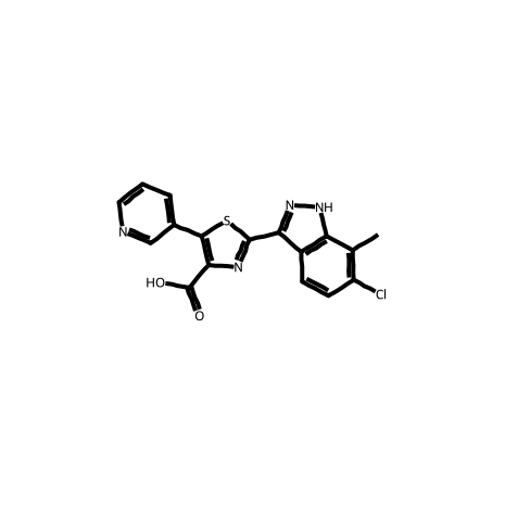 Cc1c(Cl)ccc2c(-c3nc(C(=O)O)c(-c4cccnc4)s3)n[nH]c12